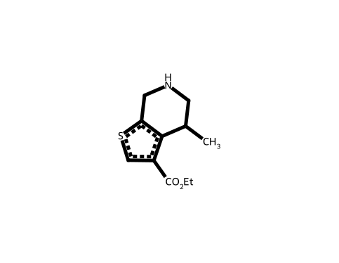 CCOC(=O)c1csc2c1C(C)CNC2